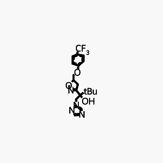 CC(C)(C)C(O)(Cn1cncn1)C1=NOC(COc2ccc(C(F)(F)F)cc2)C1